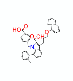 Cc1ccccc1-c1cccc2c(CCCOc3cccc4ccccc34)c(C(=O)O)n(Cc3ccc(C(=O)O)cc3)c12